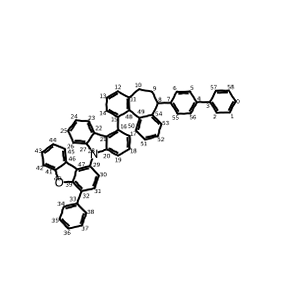 c1ccc(-c2ccc(C3CCc4cccc(-c5cccc6c5c5ccccc5n6-c5ccc(-c6ccccc6)c6oc7ccccc7c56)c4-c4ccccc43)cc2)cc1